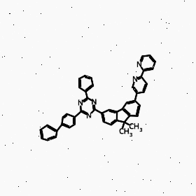 CC1(C)c2ccc(-c3ccc(-c4ccccn4)nc3)cc2-c2cc(-c3nc(-c4ccccc4)nc(-c4ccc(-c5ccccc5)cc4)n3)ccc21